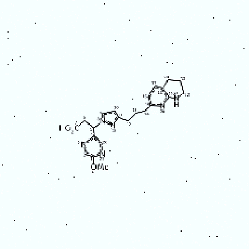 COc1cnc(C(CC(=O)O)n2ccc(CCCc3ccc4c(n3)NCCC4)n2)cn1